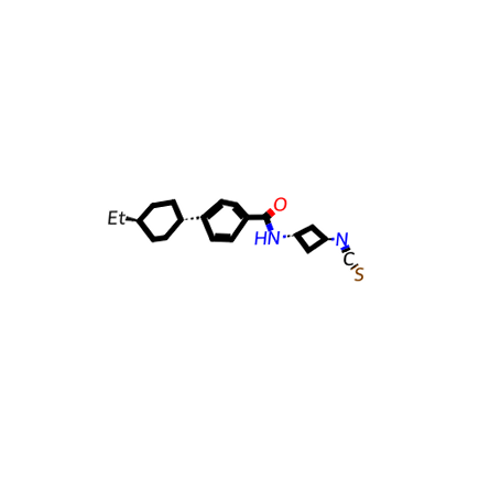 CC[C@H]1CC[C@H](c2ccc(C(=O)N[C@H]3C[C@@H](N=C=S)C3)cc2)CC1